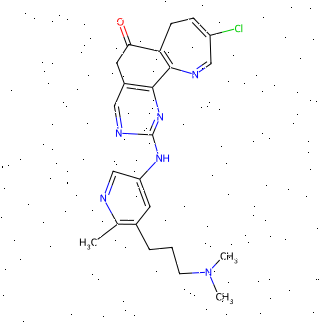 Cc1ncc(Nc2ncc3c(n2)C2=C(CC=C(Cl)C=N2)C(=O)C3)cc1CCCN(C)C